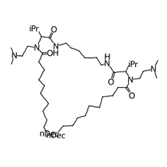 CCCCCCCCCCCCCCCCCCCC(=O)N(CCN(C)C)C(C(=O)NCCCCCCNC(=O)C(C(C)C)N(CCN(C)C)C(=O)CCCCCCCCCCCCCCCCCCC)C(C)C